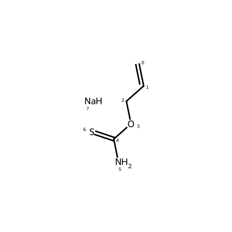 C=CCOC(N)=S.[NaH]